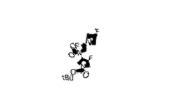 CC(C)(C)OC(=O)N1C[C@@H](F)[C@@H](N(CCN2CC(F)C2)C(=O)C(F)(F)F)C1